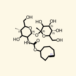 C[C@@H]1C(CO)O[C@H](O[C@@]2(C)OC(CO)[C@@H](O)[C@H](O)C2O)C(NC(=O)OC2CC/C=C/CCC2)C1O